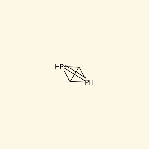 C12C3[PH]1=[PH]23